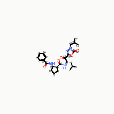 CC(C)C[C@H](NC(=O)[C@H]1CCC[C@H]1NC(=O)c1ccccc1)C(=O)c1nn(CC(C)C)c(=O)o1